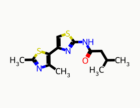 Cc1nc(C)c(-c2csc(NC(=O)CC(C)C)n2)s1